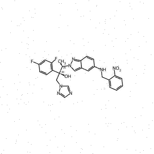 C[C@@H](n1cc2cc(NCc3ccccc3[N+](=O)[O-])ccc2n1)[C@](O)(Cn1cncn1)c1ccc(F)cc1F